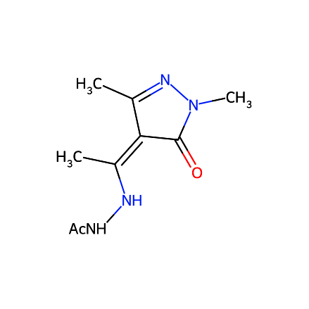 CC(=O)NN/C(C)=C1\C(=O)N(C)N=C1C